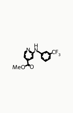 COC(=O)c1ccnc(Nc2cccc(C(F)(F)F)c2)c1